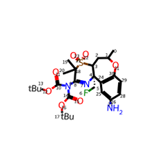 CC1CC2[C@](CF)(N=C(N(C(=O)OC(C)(C)C)C(=O)OC(C)(C)C)C(C)(C)S2(=O)=O)c2cc(N)ccc2O1